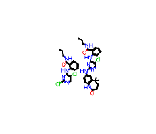 CCCNC(=O)c1ccccc1Nc1nc(Cl)ncc1Cl.CCCNC(=O)c1ccccc1Nc1nc(Nc2ccc3c(c2)C(C)(C)CCC(=O)N3)ncc1Cl